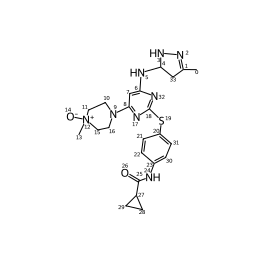 CC1=NNC(Nc2cc(N3CC[N+](C)([O-])CC3)nc(Sc3ccc(NC(=O)C4CC4)cc3)n2)C1